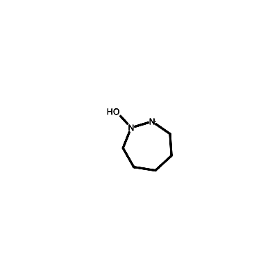 ON1CCCCC[N]1